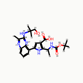 Cc1nc2cccc(-c3cc(C(=O)O)c(C(C)NC(=O)OC(C)(C)C)[nH]3)c2nc1NC(C)(C)CO